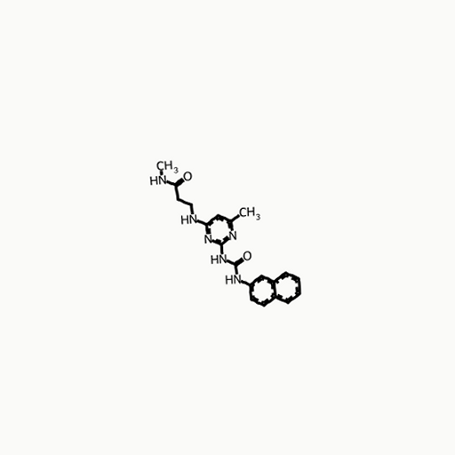 CNC(=O)CCNc1cc(C)nc(NC(=O)Nc2ccc3ccccc3c2)n1